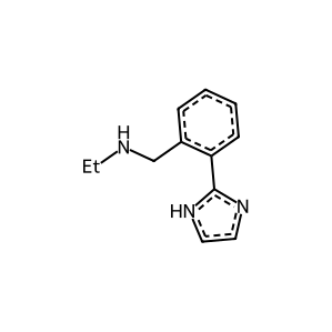 CCNCc1ccccc1-c1ncc[nH]1